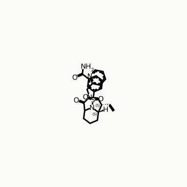 C=C[C@H]1CN(Cc2ccccn2)C(=O)C2CCC[C@@H]1N2S(=O)(=O)c1cccc(C(N)=O)c1